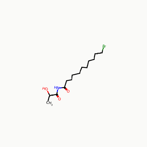 CC(O)C(=O)NC(=O)CCCCCCCCCCBr